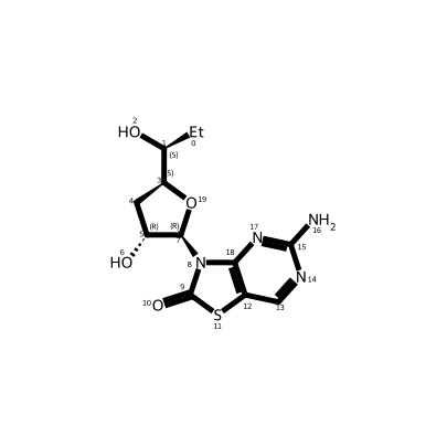 CC[C@H](O)[C@@H]1C[C@@H](O)[C@H](n2c(=O)sc3cnc(N)nc32)O1